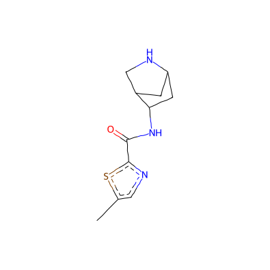 Cc1cnc(C(=O)NC2CC3CC2CN3)s1